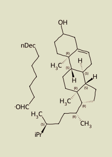 CC(C)[C@@H](C)CC[C@@H](C)[C@H]1CC[C@H]2[C@@H]3CC=C4CC(O)CC[C@]4(C)[C@H]3CC[C@]12C.CCCCCCCCCCCCCCC[C]=O